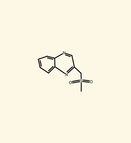 CS(=O)(=O)Cc1cnc2ccccc2n1